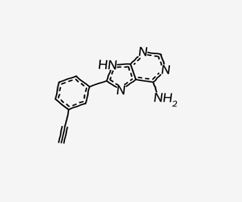 C#Cc1cccc(-c2nc3c(N)ncnc3[nH]2)c1